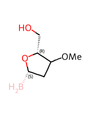 B[C@H]1CC(OC)[C@@H](CO)O1